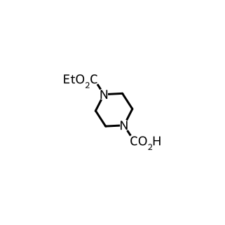 CCOC(=O)N1CCN(C(=O)O)CC1